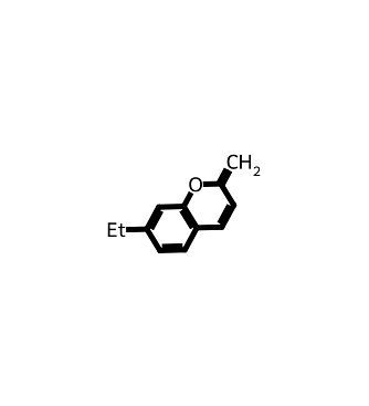 C=C1C=Cc2ccc(CC)cc2O1